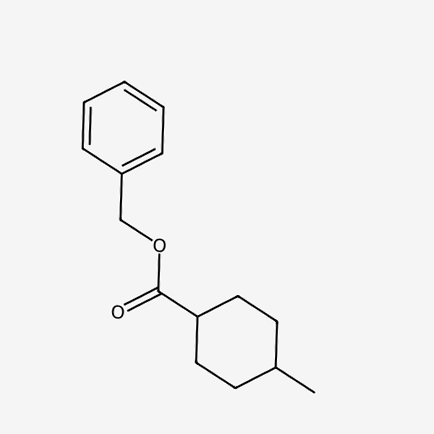 CC1CCC(C(=O)OCc2ccccc2)CC1